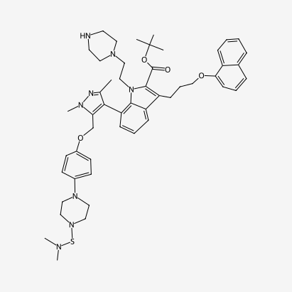 Cc1nn(C)c(COc2ccc(N3CCN(SN(C)C)CC3)cc2)c1-c1cccc2c(CCCOc3cccc4ccccc34)c(C(=O)OC(C)(C)C)n(CCN3CCNCC3)c12